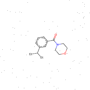 CCC(CC)c1cccc(C(=O)N2CCOCC2)c1